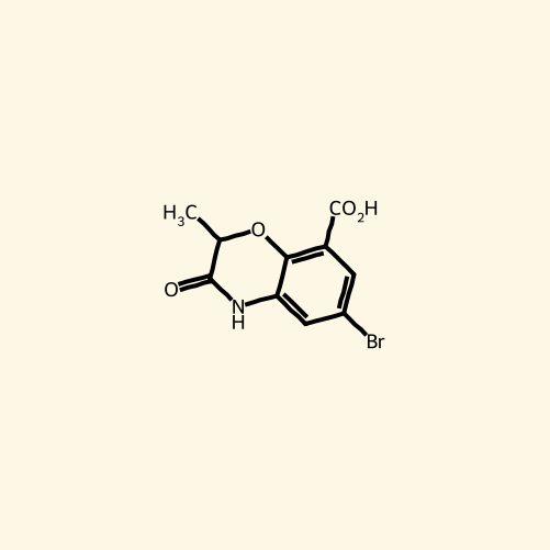 CC1Oc2c(cc(Br)cc2C(=O)O)NC1=O